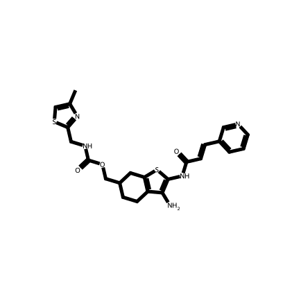 Cc1csc(CNC(=O)OCC2CCc3c(sc(NC(=O)/C=C/c4cccnc4)c3N)C2)n1